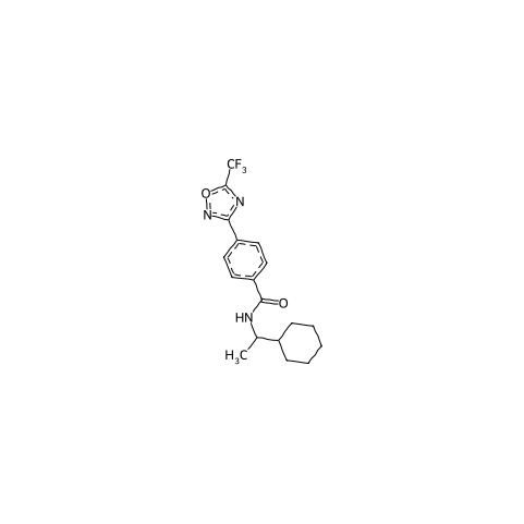 CC(NC(=O)c1ccc(-c2noc(C(F)(F)F)n2)cc1)C1CCCCC1